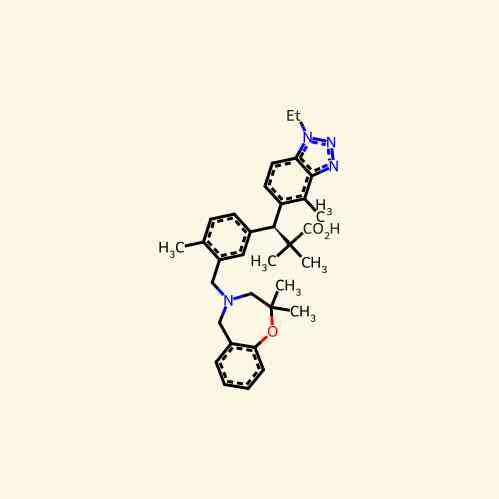 CCn1nnc2c(C)c([C@H](c3ccc(C)c(CN4Cc5ccccc5OC(C)(C)C4)c3)C(C)(C)C(=O)O)ccc21